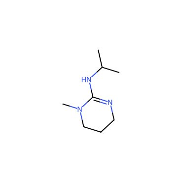 CC(C)NC1=NCCCN1C